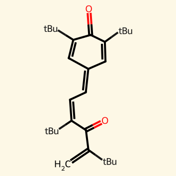 C=C(C(=O)/C(=C\C=C1C=C(C(C)(C)C)C(=O)C(C(C)(C)C)=C1)C(C)(C)C)C(C)(C)C